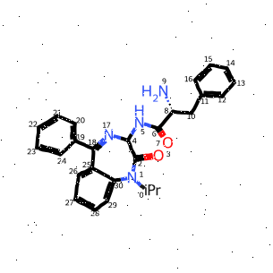 CC(C)N1C(=O)C(NC(=O)[C@H](N)Cc2ccccc2)N=C(c2ccccc2)c2ccccc21